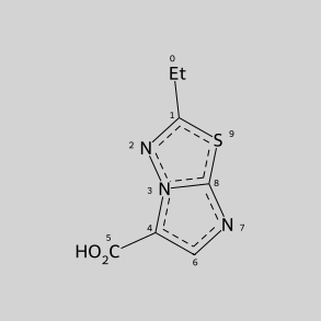 CCc1nn2c(C(=O)O)cnc2s1